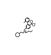 CCCCN(CCC1CCCCC1)Cc1ccc(C(=O)OC)c(-c2ccccc2C)c1